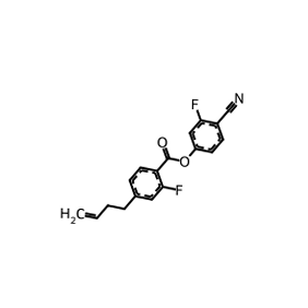 C=CCCc1ccc(C(=O)Oc2ccc(C#N)c(F)c2)c(F)c1